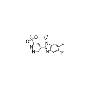 CS(=O)(=O)c1cc(-c2nc3cc(F)c(F)cc3n2C2CC2)cnn1